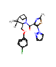 Cc1nc(C(=O)N2C3CC(C3)[C@@H](C)C2COc2ccc(F)cc2)c(-n2cccn2)s1